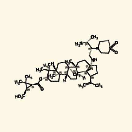 C=C(C)[C@@H]1CC[C@]2(NC[C@H]([C@@H](C)N)N3CCS(=O)(=O)CC3)CC[C@]3(C)[C@H](CC[C@@H]4[C@@]5(C)CC[C@H](OC(=O)[C@H]6[C@@H](C(=O)O)C6(C)C)C(C)(C)[C@@H]5CC[C@]43C)[C@@H]12